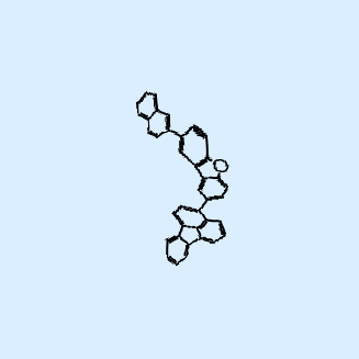 c1ccc2c(c1)-c1cccc3c(-c4ccc5oc6ccc(-c7ccc8ccccc8c7)cc6c5c4)ccc-2c13